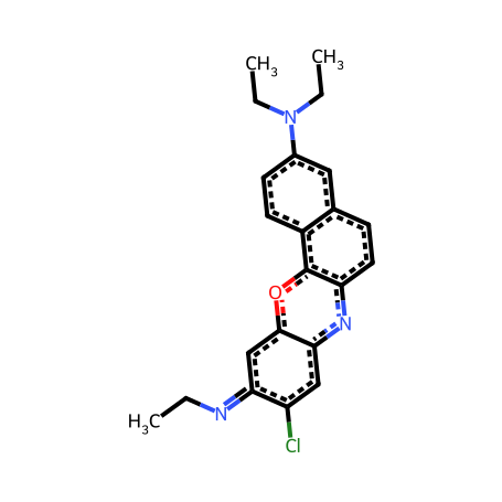 CCN=c1cc2oc3c(ccc4cc(N(CC)CC)ccc43)nc-2cc1Cl